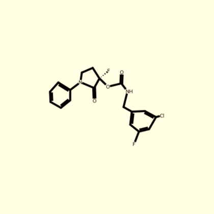 O=C(NCc1cc(F)cc(Cl)c1)O[C@]1(F)CCN(c2ccccc2)C1=O